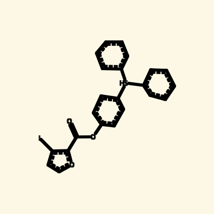 O=C(Oc1ccc([SH](c2ccccc2)c2ccccc2)cc1)c1occc1I